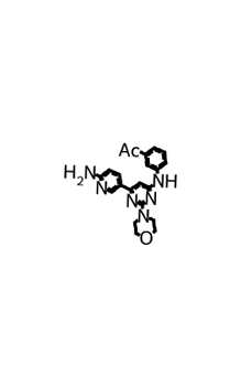 CC(=O)c1cccc(Nc2cc(-c3ccc(N)nc3)nc(N3CCOCC3)n2)c1